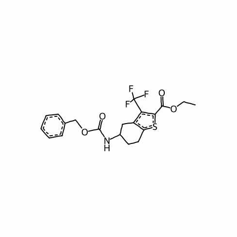 CCOC(=O)c1sc2c(c1C(F)(F)F)CC(NC(=O)OCc1ccccc1)CC2